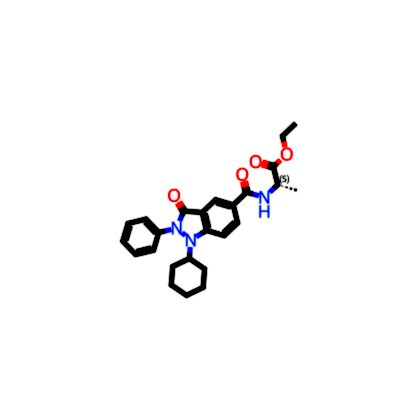 CCOC(=O)[C@H](C)NC(=O)c1ccc2c(c1)c(=O)n(-c1ccccc1)n2C1CCCCC1